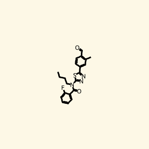 CCCCN(C(=O)c1ccccc1F)c1nnc(-c2ccc(C=O)c(C)c2)s1